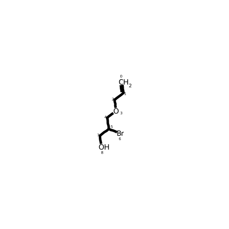 C=CCOCC(Br)CO